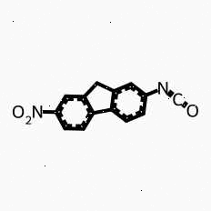 O=C=Nc1ccc2c(c1)Cc1cc([N+](=O)[O-])ccc1-2